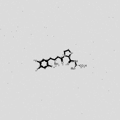 CC[C@H](C)[C@H](NC(=O)C1SCCN1C(=O)C[C@H](N)Cc1cc(F)c(F)cc1F)C(=O)O